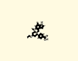 CCOC1CCN(Cc2c(OC)cc(C)c3[nH]ccc23)[C@@H](c2ccc(C(=O)O)cc2)C1